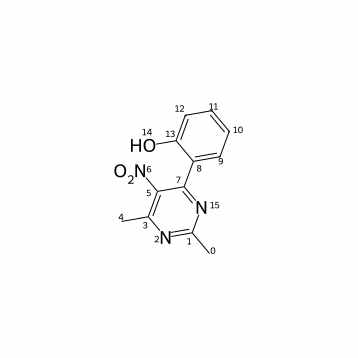 Cc1nc(C)c([N+](=O)[O-])c(-c2ccccc2O)n1